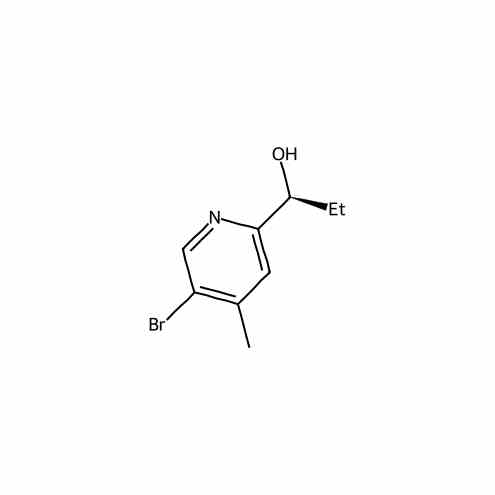 CC[C@H](O)c1cc(C)c(Br)cn1